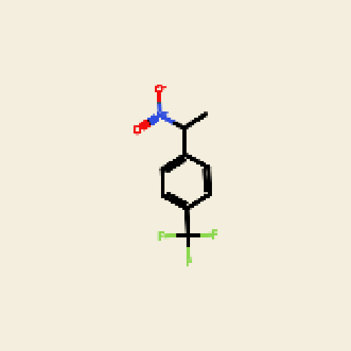 CC(c1ccc(C(F)(F)F)cc1)[N+](=O)[O-]